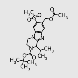 CC(=O)OCc1cc2nc3n(c2cc1S(C)(=O)=O)CCN(C(=O)OC(C)(C)C)C3C(C)C